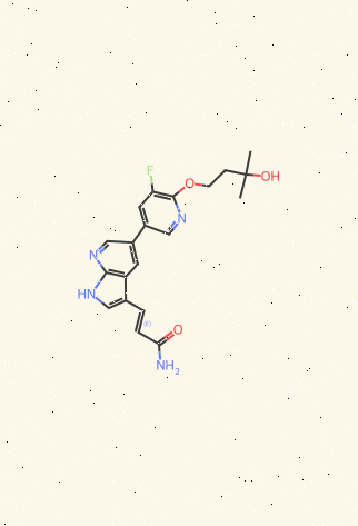 CC(C)(O)CCOc1ncc(-c2cnc3[nH]cc(/C=C/C(N)=O)c3c2)cc1F